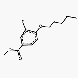 CCCCCOc1ccc(C(=O)OC)cc1F